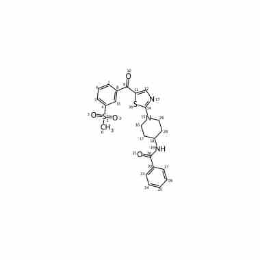 CS(=O)(=O)c1cccc(C(=O)c2cnc(N3CCC(NC(=O)c4ccccc4)CC3)s2)c1